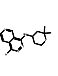 [2H]c1nnc(NC2CCOC(C)(C)C2)c2cnccc12